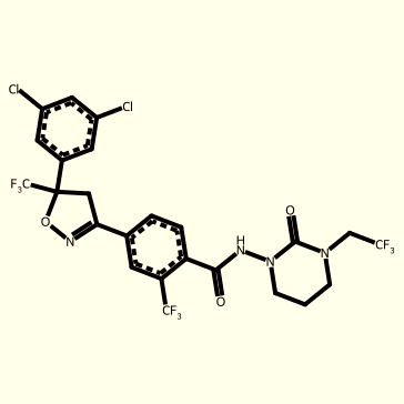 O=C(NN1CCCN(CC(F)(F)F)C1=O)c1ccc(C2=NOC(c3cc(Cl)cc(Cl)c3)(C(F)(F)F)C2)cc1C(F)(F)F